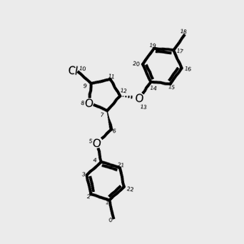 Cc1ccc(OC[C@H]2OC(Cl)C[C@@H]2Oc2ccc(C)cc2)cc1